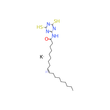 CCCCCCCC/C=C\CCCCCCCC(=O)Nc1nc(S)nc(S)n1.[K]